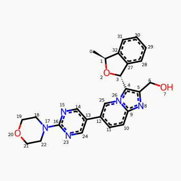 C[C@@H]1O[C@@H](c2c(CO)nc3ccc(-c4cnc(N5CCOCC5)nc4)cn23)c2ccccc21